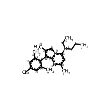 CCCN(CC)c1cc(C)nc2c(-c3c(C)cc(Cl)cc3C)c(C)cn12